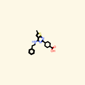 Cc1cc2c(NCCc3ccccc3)nc(C3CCC(C(=O)O)CC3)nc2s1